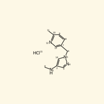 CNc1cnn(Cc2ccc(C)nc2)c1.Cl